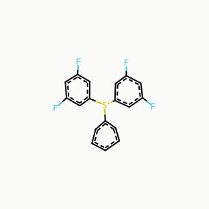 Fc1cc(F)cc([S+](c2ccccc2)c2cc(F)cc(F)c2)c1